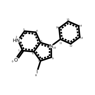 O=c1[nH]ccc2c1c(I)cn2-c1ccccc1